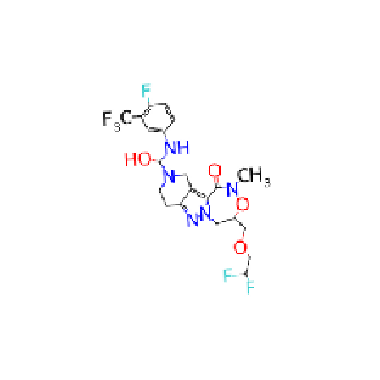 CN1OC(COCC(F)F)Cn2nc3c(c2C1=O)CN(C(O)Nc1ccc(F)c(C(F)(F)F)c1)CC3